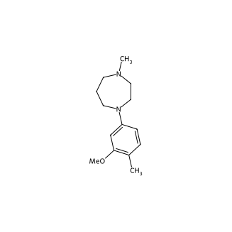 COc1cc(N2CCCN(C)CC2)ccc1C